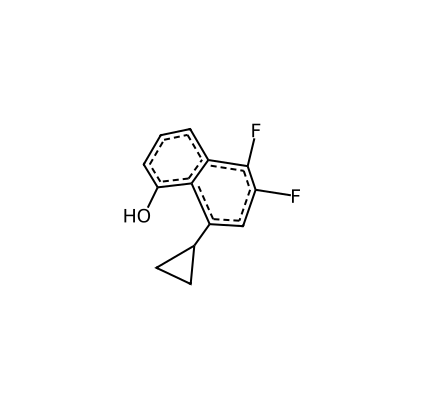 Oc1cccc2c(F)c(F)cc(C3CC3)c12